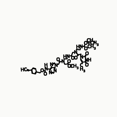 C#Cc1ccc(COC(=O)Nc2ncnc3c2ncn3CC(=O)N(CCNC(=O)CN(CCNC(=O)OC(C)(C)C)C(=O)Cn2cc(C)c(=O)[nH]c2=O)CC(=O)OC)cc1